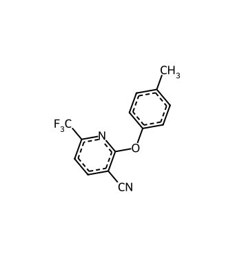 Cc1ccc(Oc2nc(C(F)(F)F)ccc2C#N)cc1